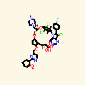 COc1ccccc1-c1nccc(COc2ccc3cc2C[C@@H](C(=O)O)Oc2ncnc4c(Cl)c(-c5ccc(F)cc5)n(c24)-c2c(C)c(Cl)c(c(Cl)c2C)O[C@H](CN2CCN(C)CC2)CO3)n1